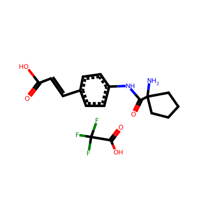 NC1(C(=O)Nc2ccc(C=CC(=O)O)cc2)CCCC1.O=C(O)C(F)(F)F